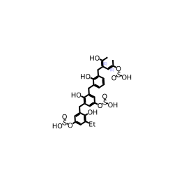 CCc1cc(OS(=O)O)cc(Cc2cc(OS(=O)O)cc(Cc3cccc(CC(/C=C(\C)OS(=O)O)=C(/C)O)c3O)c2O)c1O